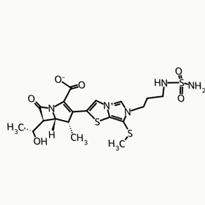 CSc1c2sc(C3=C(C(=O)[O-])N4C(=O)[C@H]([C@@H](C)O)[C@H]4[C@H]3C)c[n+]2cn1CCCNS(N)(=O)=O